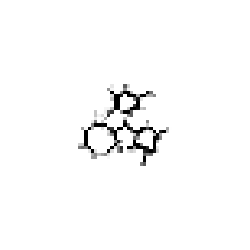 Cc1cc(C)c(O)c(C(c2cc(C)cc(C)c2O)C2CCCCCCC2)c1